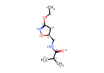 CCOC1=NO[C@H](CNC(=O)C(C)C)C1